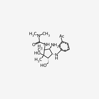 CC(=O)c1cccc(N[C@@H]2[C@H](CO)[C@](C)(O)[C@@](C)(NC(=O)N(C)C)[C@H]2N)c1